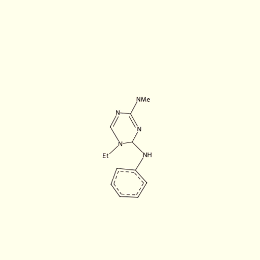 CCN1C=NC(NC)=NC1Nc1ccccc1